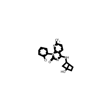 O=c1nc(NC2CC3(O)CCC23)c2ccc(C(F)(F)F)nc2n1-c1ccccc1Cl